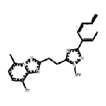 C=C/C=C\C(=C/C)c1nc(CCc2nc3c(CC)ccc(C)n3n2)n(CCC)n1